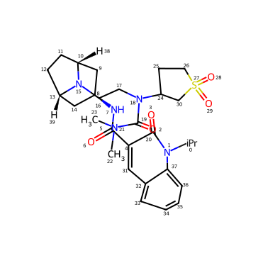 CC(C)n1c(=O)c(C(=O)N[C@@H]2C[C@H]3CC[C@@H](C2)N3CCN(C(=O)N(C)C)C2CCS(=O)(=O)C2)cc2ccccc21